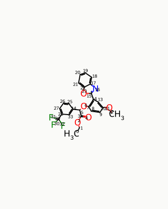 CCOC(=O)C(Oc1ccc(OC)cc1-c1nc2ccccc2o1)c1cccc(C(F)(F)F)c1